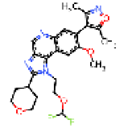 COc1cc2c(cc1-c1c(C)noc1C)ncc1nc(C3CCOCC3)n(CCOC(F)F)c12